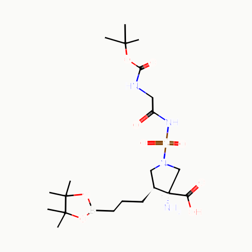 CC(C)(C)OC(=O)NCC(=O)NS(=O)(=O)N1C[C@H](CCCB2OC(C)(C)C(C)(C)O2)[C@](N)(C(=O)O)C1